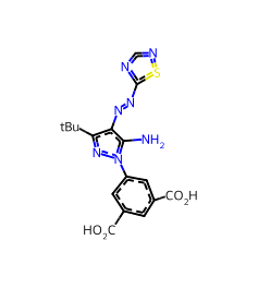 CC(C)(C)c1nn(-c2cc(C(=O)O)cc(C(=O)O)c2)c(N)c1N=Nc1ncns1